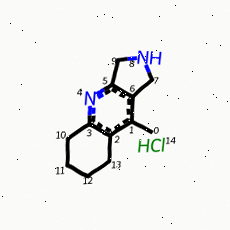 Cc1c2c(nc3c1CNC3)CCCC2.Cl